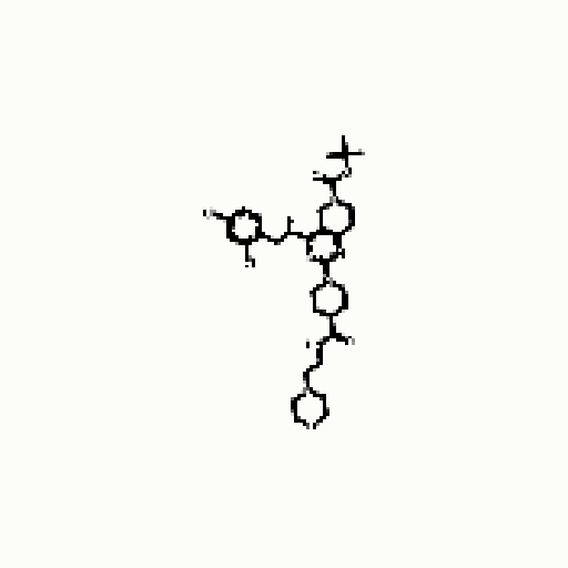 CC(C)(C)OC(=O)N1CCc2nc(N3CCC(C(=O)NCCN4CCOCC4)CC3)nc(NCc3ccc(Cl)cc3Cl)c2C1